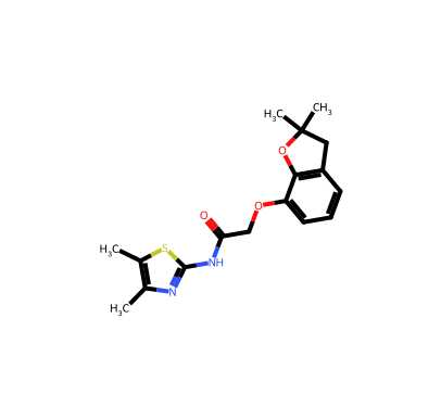 Cc1nc(NC(=O)COc2cccc3c2OC(C)(C)C3)sc1C